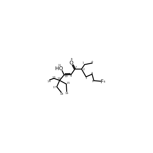 CCC(CCCF)C(=O)/C=C(\O)C(CC)(CC)CC